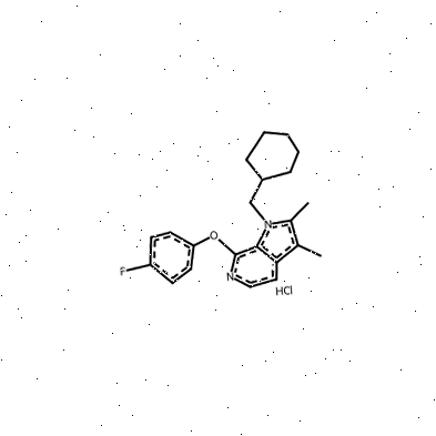 Cc1c(C)n(CC2CCCCC2)c2c(Oc3ccc(F)cc3)nccc12.Cl